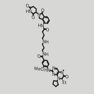 CC[C@@H]1C(=O)N(C)c2cnc(Nc3ccc(C(=O)NCCCNCCCC(=O)Nc4cccc5c4CN(C4CCC(=O)NC4=O)C5=O)cc3OC)nc2N1C1CCCC1